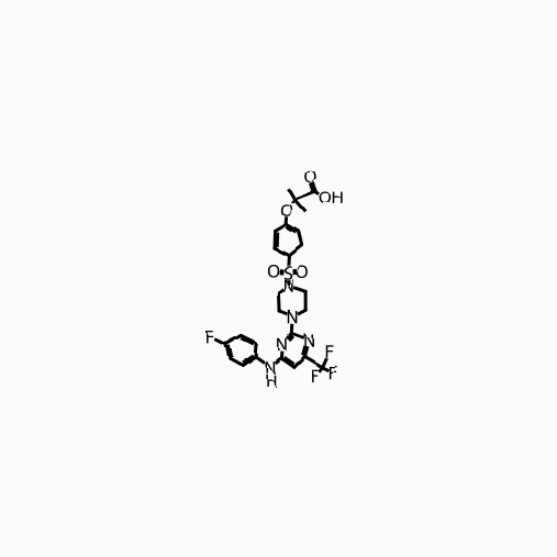 CC(C)(OC1=CCC(S(=O)(=O)N2CCN(c3nc(Nc4ccc(F)cc4)cc(C(F)(F)F)n3)CC2)C=C1)C(=O)O